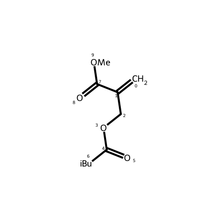 C=C(COC(=O)C(C)CC)C(=O)OC